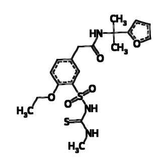 CCOc1ccc(CC(=O)NC(C)(C)c2ccco2)cc1S(=O)(=O)NC(=S)NC